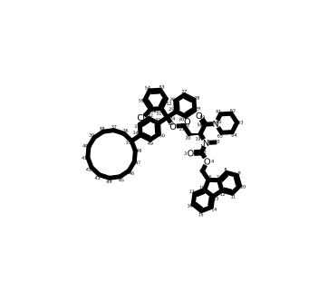 CN(C(=O)OCC1c2ccccc2-c2ccccc21)[C@@H](CC(=O)OC(c1ccccc1)(c1ccc(C2CCCCCCCCCCCCC2)cc1)c1ccccc1Cl)C(=O)N1CCCCC1